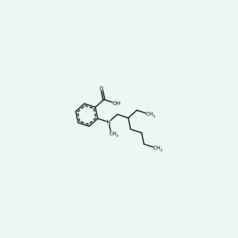 CCCCC(CC)CN(C)c1ccccc1C(=O)O